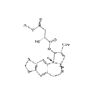 COC1=CC23CCCN2CCc2cc4c(cc2[C@@H]3C1OC(=O)[C@H](O)CC(=O)SC(C)C)OCO4